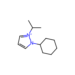 CC(C)[n+]1cccn1C1CCCCC1